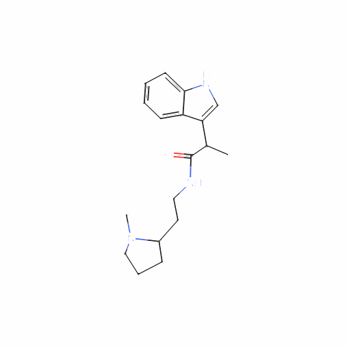 CC(C(=O)NCCC1CCCN1C)c1c[nH]c2ccccc12